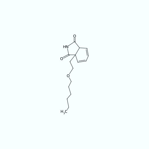 CCCCCCOCCC12C=CC=CC1C(=O)NC2=O